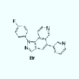 Fc1ccc(-n2nc(Br)c3cc(-c4cccnc4)c4cnccc4c32)cc1